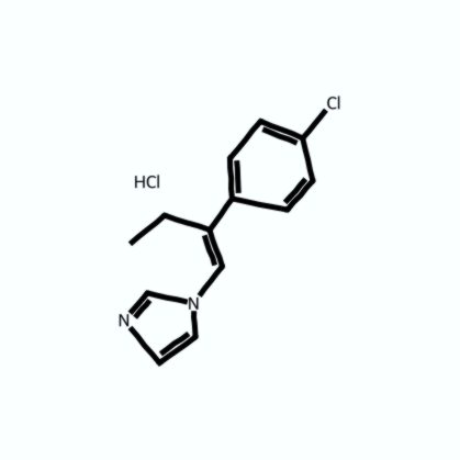 CCC(=Cn1ccnc1)c1ccc(Cl)cc1.Cl